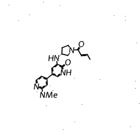 CC=CC(=O)N1CC[C@@H](Nc2cc(-c3ccnc(NC)c3)c[nH]c2=O)C1